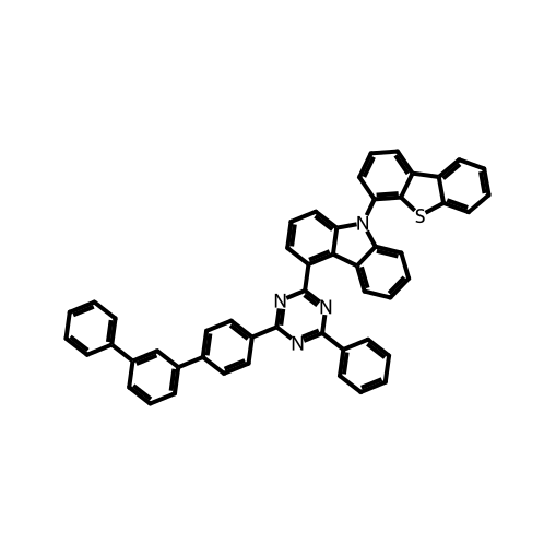 c1ccc(-c2cccc(-c3ccc(-c4nc(-c5ccccc5)nc(-c5cccc6c5c5ccccc5n6-c5cccc6c5sc5ccccc56)n4)cc3)c2)cc1